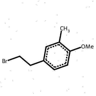 COc1ccc(CCBr)cc1C